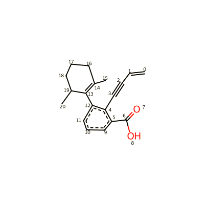 C=CC#Cc1c(C(=O)O)cccc1C1=C(C)CCCC1C